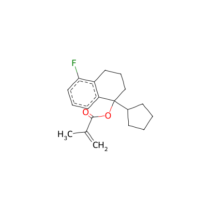 C=C(C)C(=O)OC1(C2CCCC2)CCCc2c(F)cccc21